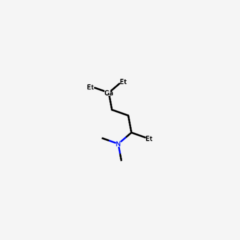 CCC(C[CH2][Ga]([CH2]C)[CH2]C)N(C)C